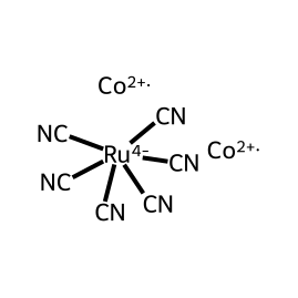 N#[C][Ru-4]([C]#N)([C]#N)([C]#N)([C]#N)[C]#N.[Co+2].[Co+2]